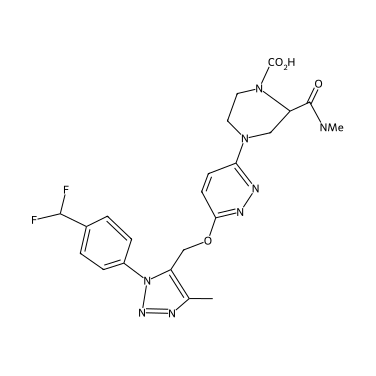 CNC(=O)C1CN(c2ccc(OCc3c(C)nnn3-c3ccc(C(F)F)cc3)nn2)CCN1C(=O)O